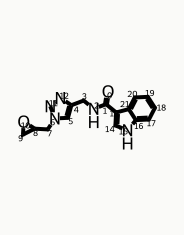 O=C(NCc1cn(CC2CO2)nn1)c1c[nH]c2ccccc12